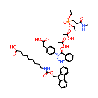 CC(=O)O.CC(=O)O.CCOP(=O)(CCC(=O)NC)OCC.O=C(O)CCCCCCCCNC(=O)OCC1c2ccccc2-c2ccccc21.O=C(O)Cc1ccc(-n2nnc3ccccc3c2=O)cc1